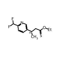 CCOC(=S)C[C@@H](C)c1ccc(C(F)F)nc1